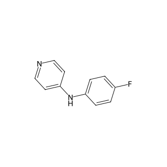 Fc1ccc(Nc2ccncc2)cc1